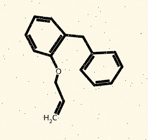 C=CCOc1ccc[c]c1Cc1ccccc1